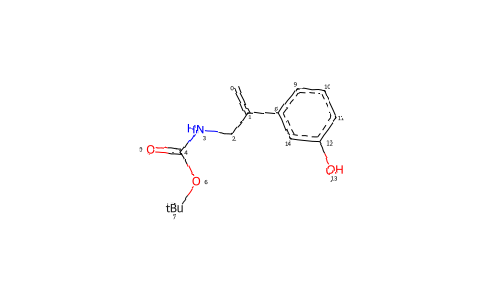 C=C(CNC(=O)OC(C)(C)C)c1cccc(O)c1